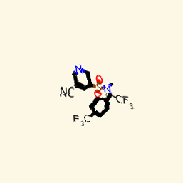 CN([C@@H](c1ccc(C(F)(F)F)cc1)C(F)(F)F)S(=O)(=O)c1cncc(C#N)c1